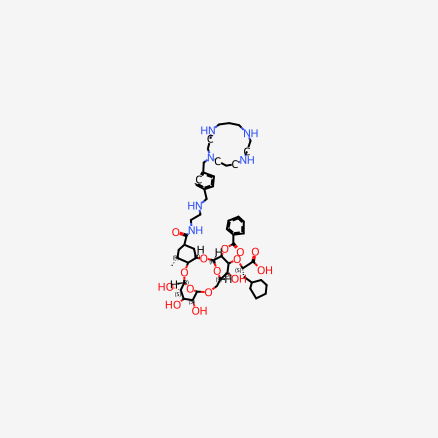 C[C@@H]1CC(C(=O)NCCNCc2ccc(CN3CCCNCCNCCCNCC3)cc2)C[C@H]2O[C@@H]3O[C@@H](COC4O[C@@H](OC12)[C@@H](O)C(O)[C@@H]4O)[C@H](O)C(O[C@@H](CC1CCCCC1)C(=O)O)C3OC(=O)c1ccccc1